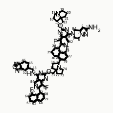 Nc1cc2n(n1)CCN(c1nc(OCC34CCCN3CCC4)nc3c(F)c(-c4cccc5c(C6CCC7(COc8nc(NCc9ccc%10nonc%10c9)c9cnc(-c%10cccc%11cccc(F)c%10%11)c(F)c9n8)CCCN67)ccc(F)c45)ncc13)C2